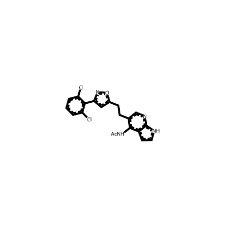 CC(=O)Nc1c(CCc2cc(-c3c(Cl)cccc3Cl)no2)cnc2[nH]ccc12